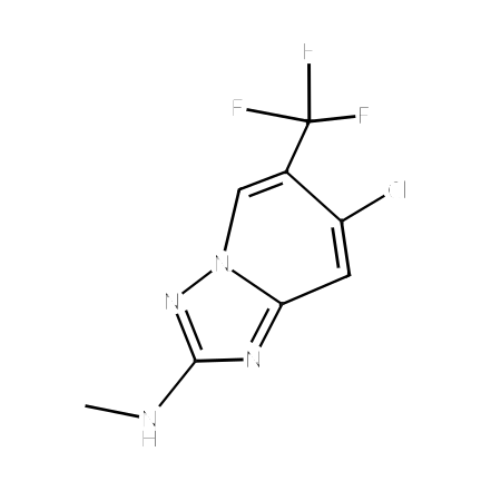 CNc1nc2cc(Cl)c(C(F)(F)F)cn2n1